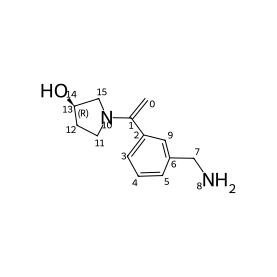 C=C(c1cccc(CN)c1)N1CC[C@@H](O)C1